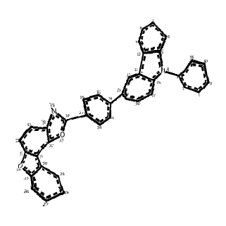 c1ccc(-n2c3ccccc3c3cc(-c4ccc(-c5nc6ccc7oc8ccccc8c7c6o5)cc4)ccc32)cc1